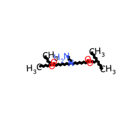 CCCCCC(CCCCC)CCOC(=O)CCCCCCCN(CCCN)CCCCCCCC(=O)OC(CCCCC)CCCCC